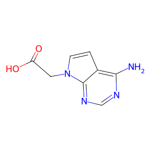 Nc1ncnc2c1ccn2CC(=O)O